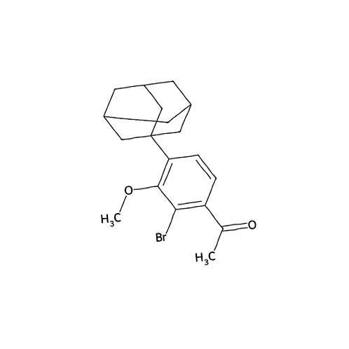 COc1c(C23CC4CC(CC(C4)C2)C3)ccc(C(C)=O)c1Br